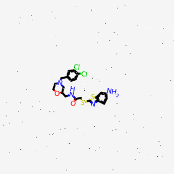 Nc1ccc2nc(SCC(=O)NCC3CN(Cc4ccc(Cl)c(Cl)c4)CCO3)sc2c1